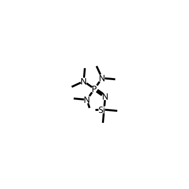 CN(C)P(=N[Si](C)(C)C)(N(C)C)N(C)C